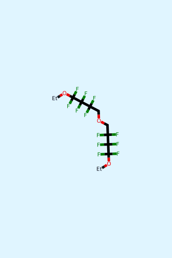 CCOC(F)(F)C(F)(F)C(F)(F)COCC(F)(F)C(F)(F)C(F)(F)OCC